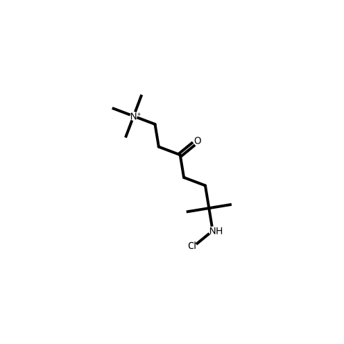 CC(C)(CCC(=O)CC[N+](C)(C)C)NCl